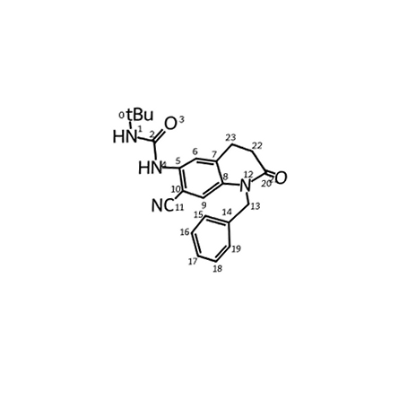 CC(C)(C)NC(=O)Nc1cc2c(cc1C#N)N(Cc1ccccc1)C(=O)CC2